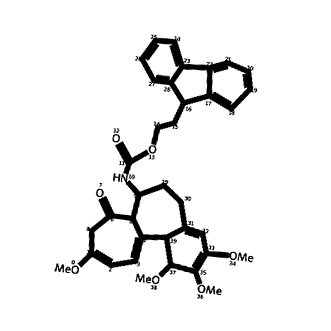 COC1=CC=C2C(C(=O)C1)C(NC(=O)OCCC1c3ccccc3-c3ccccc31)CCC1=CC(OC)=C(OC)C(OC)C12